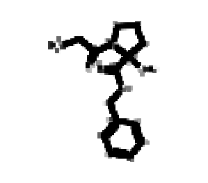 NCC(=O)N1CCC[C@]1([C]=O)C(=O)OCc1ccccc1